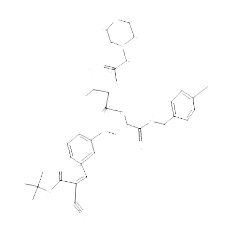 Cc1ccc(CNC(=O)[C@H](COc2cccc(C=C(C#N)C(=O)NC(C)(C)C)c2)NC(=O)[C@@H](NC(=O)CN2CCOCC2)[C@@H](C)O)cc1